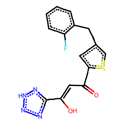 O=C(C=C(O)c1nn[nH]n1)c1cc(Cc2ccccc2F)cs1